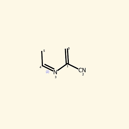 C=C(C#N)/N=C\C